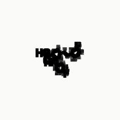 O=C(O)c1ccc(/C=C/c2cccc(F)c2)cc1Nc1ccc(F)cc1